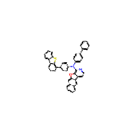 c1ccc(-c2ccc(N(c3ccc(-c4cccc5c4sc4ccccc45)cc3)c3nccc4c3oc3cc5ccccc5cc34)cc2)cc1